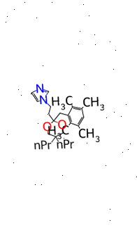 CCCC1(CCC)COC(CCn2ccnc2)(Cc2c(C)c(C)cc(C)c2C)OC1